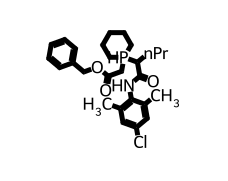 CCCC(C(=O)Nc1c(C)cc(Cl)cc1C)[PH]1(CC(=O)OCc2ccccc2)CCCCC1